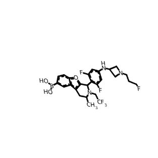 CC1Cc2c(oc3ccc(B(O)O)cc23)C(c2c(F)cc(NC3CN(CCCF)C3)cc2F)N1CC(F)(F)F